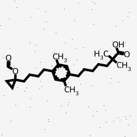 Cc1cc(CCCCC2(OC=O)CC2)c(C)cc1CCCCCC(C)(C)C(=O)O